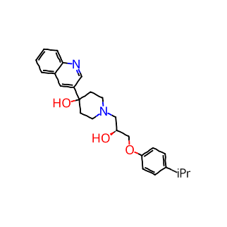 CC(C)c1ccc(OC[C@@H](O)CN2CCC(O)(c3cnc4ccccc4c3)CC2)cc1